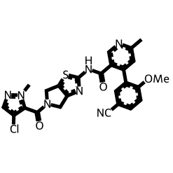 COc1ccc(C#N)cc1-c1cc(C)ncc1C(=O)Nc1nc2c(s1)CN(C(=O)c1c(Cl)cnn1C)C2